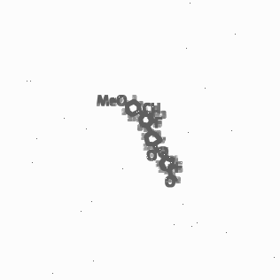 COC1CCC(C2(C)CC=C(C3CCC(C(=O)Oc4ccc(C5CO5)c(F)c4)CC3)C(F)=C2F)CC1